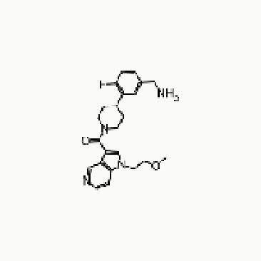 COCCn1cc(C(=O)N2CCC(c3cc(CN)ccc3F)CC2)c2cnccc21